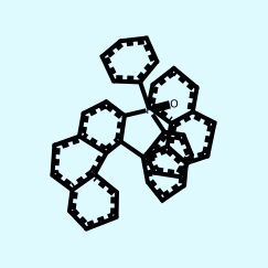 O=P(c1ccccc1)(c1ccccc1)c1ccc2ccc3ccccc3c2c1-c1cccc2ccc3ccccc3c12